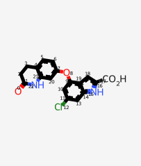 O=C1CCc2ccc(Oc3cc(Cl)cc4[nH]c(C(=O)O)cc34)cc2N1